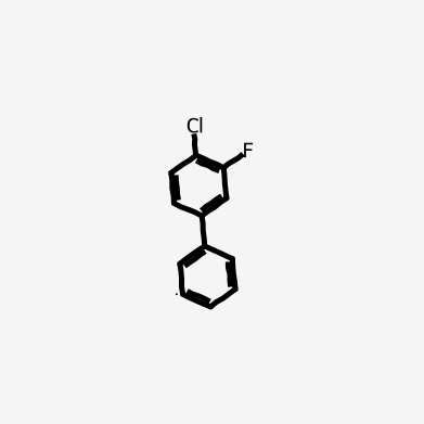 Fc1cc(-c2c[c]ccc2)ccc1Cl